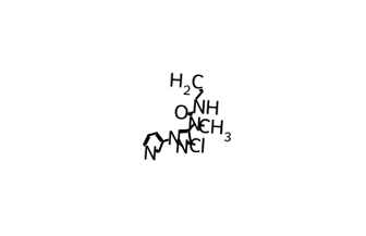 C=CCNC(=O)N(C)c1cn(-c2cccnc2)nc1Cl